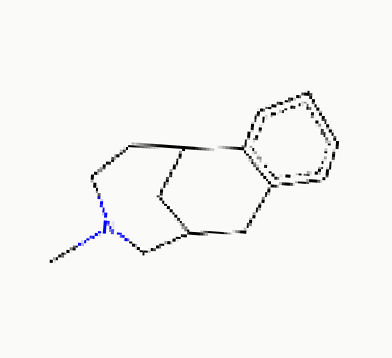 CN1CCC2CC(Cc3ccccc32)C1